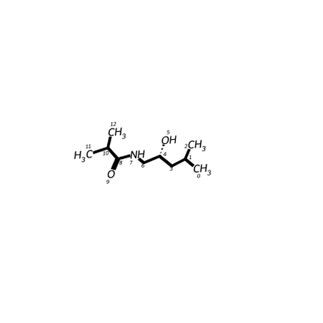 CC(C)C[C@@H](O)CNC(=O)C(C)C